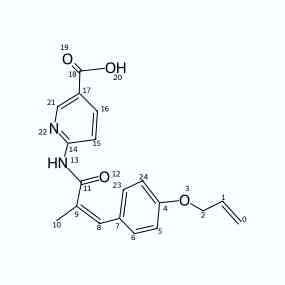 C=CCOc1ccc(C=C(C)C(=O)Nc2ccc(C(=O)O)cn2)cc1